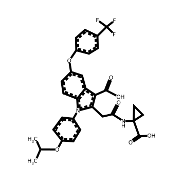 CC(C)Oc1ccc(-n2c(CC(=O)NC3(C(=O)O)CC3)c(C(=O)O)c3cc(Oc4ccc(C(F)(F)F)cc4)ccc32)cc1